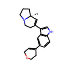 C1=C(c2ccc3[nH]cc(C4=C[C@@H]5CCCN5CC4)c3c2)CCOC1